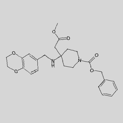 COC(=O)CC1(NCc2ccc3c(c2)OCCO3)CCN(C(=O)OCc2ccccc2)CC1